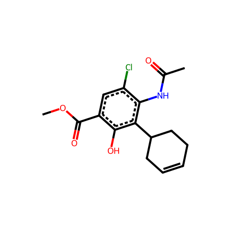 COC(=O)c1cc(Cl)c(NC(C)=O)c(C2CC=CCC2)c1O